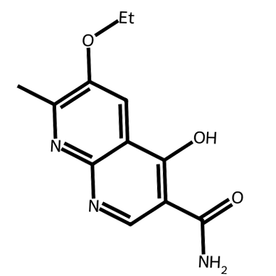 CCOc1cc2c(O)c(C(N)=O)cnc2nc1C